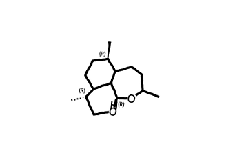 CC1CCC2C3C(CC[C@H]2C)[C@@H](C)CO[C@@H]3O1